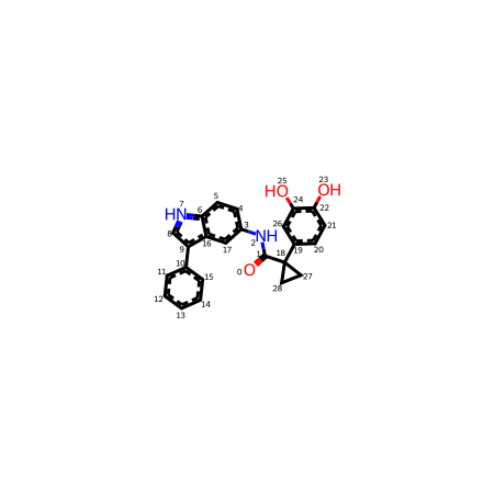 O=C(Nc1ccc2[nH]cc(-c3ccccc3)c2c1)C1(c2ccc(O)c(O)c2)CC1